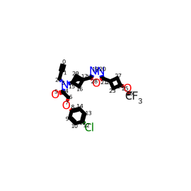 C#CCN(C(=O)COc1ccc(Cl)cc1)C12CC(c3nnc(C4CC(OC(F)(F)F)C4)o3)(C1)C2